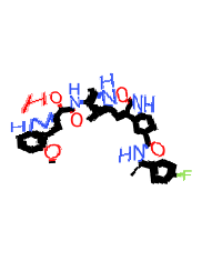 COc1cccc2[nH]c(C(O)C(=O)Nc3c(C)[nH]c(/C=C4\C(=O)Nc5ccc(C(=O)N[C@H](C)c6ccc(F)cc6)cc54)c3C)cc12